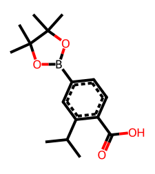 CC(C)c1cc(B2OC(C)(C)C(C)(C)O2)ccc1C(=O)O